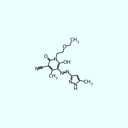 CCOCCn1c(O)c(N=Nc2cc(C)[nH]n2)c(C)c(C#N)c1=O